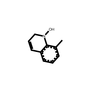 Cc1cccc2c1N(O)CC=C2